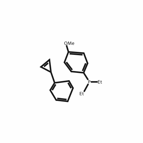 C1=CC1c1ccccc1.CCP(CC)c1ccc(OC)cc1